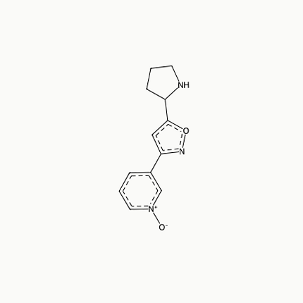 [O-][n+]1cccc(-c2cc(C3CCCN3)on2)c1